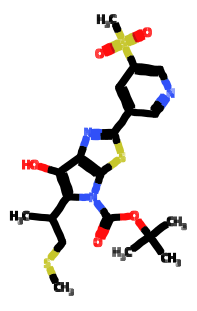 CSCC(C)c1c(O)c2nc(-c3cncc(S(C)(=O)=O)c3)sc2n1C(=O)OC(C)(C)C